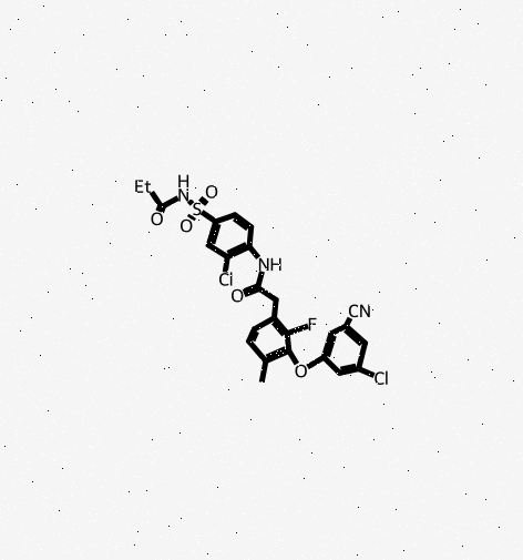 CCC(=O)NS(=O)(=O)c1ccc(NC(=O)Cc2ccc(C)c(Oc3cc(Cl)cc(C#N)c3)c2F)c(Cl)c1